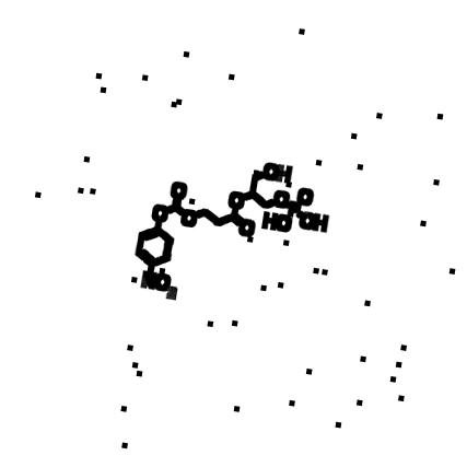 O=C(CCOC(=O)Oc1ccc([N+](=O)[O-])cc1)OC(CO)COP(=O)(O)O